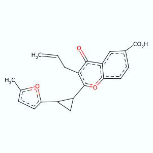 C=CCc1c(C2CC2c2ccc(C)o2)oc2ccc(C(=O)O)cc2c1=O